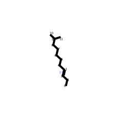 CC/C=C/CCCCCC(C)C